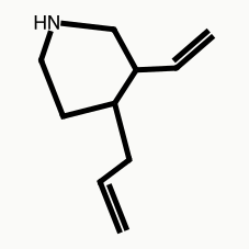 C=CCC1CCNCC1C=C